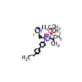 CCCc1ccc(-c2ccc(N(C[C@@H](NC(=O)OC(C)(C)C)[C@@H](C)CC)C(=O)[C@@H]3C[C@H]3c3ncccc3F)cc2)cc1